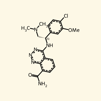 COc1cc([C@@H](CN(C)C)Nc2nnnc3c(C(N)=O)cccc23)ccc1Cl